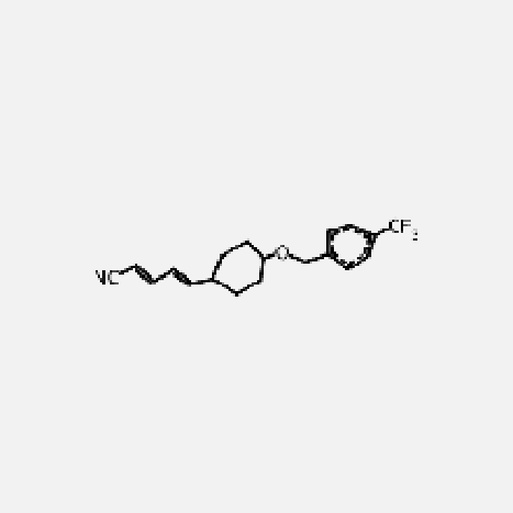 N#CC=CC=CC1CCC(OCc2ccc(C(F)(F)F)cc2)CC1